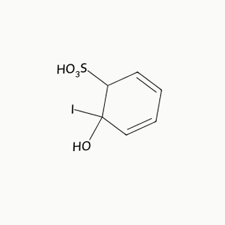 O=S(=O)(O)C1C=CC=CC1(O)I